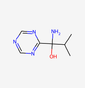 CC(C)C(N)(O)c1ncncn1